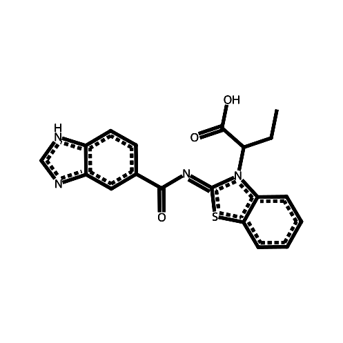 CCC(C(=O)O)n1c(=NC(=O)c2ccc3[nH]cnc3c2)sc2ccccc21